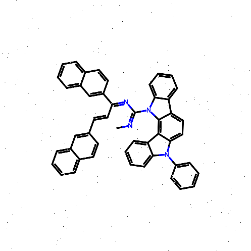 C\N=C(/N=C(\C=C\c1ccc2ccccc2c1)c1ccc2ccccc2c1)n1c2ccccc2c2ccc3c(c4ccccc4n3-c3ccccc3)c21